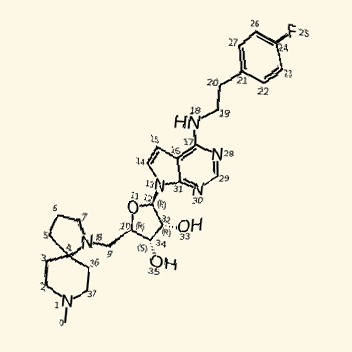 CN1CCC2(CCCN2C[C@H]2O[C@@H](n3ccc4c(NCCc5ccc(F)cc5)ncnc43)[C@H](O)[C@@H]2O)CC1